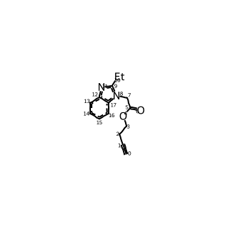 C#CCCOC(=O)Cn1c(CC)nc2ccccc21